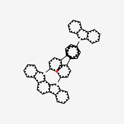 c1ccc(-c2ccc(-n3c4ccccc4c4ccc5c6ccccc6n(-c6ccc(-c7ccc(-n8c9ccccc9c9ccccc98)cc7)cc6)c5c43)cc2)cc1